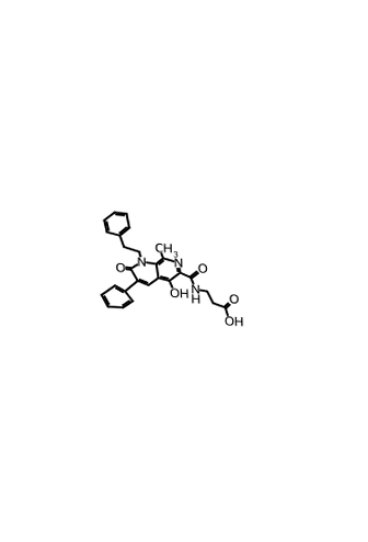 Cc1nc(C(=O)NCCC(=O)O)c(O)c2cc(-c3ccccc3)c(=O)n(CCc3ccccc3)c12